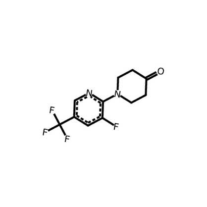 O=C1CCN(c2ncc(C(F)(F)F)cc2F)CC1